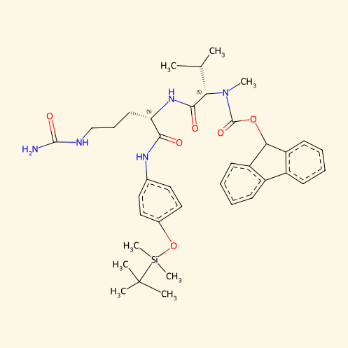 CC(C)[C@@H](C(=O)N[C@@H](CCCNC(N)=O)C(=O)Nc1ccc(O[Si](C)(C)C(C)(C)C)cc1)N(C)C(=O)OC1c2ccccc2-c2ccccc21